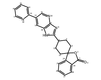 O=C1OC2(CCC(c3nc4ncc(-c5ccccn5)cc4[nH]3)CC2)c2ccccc21